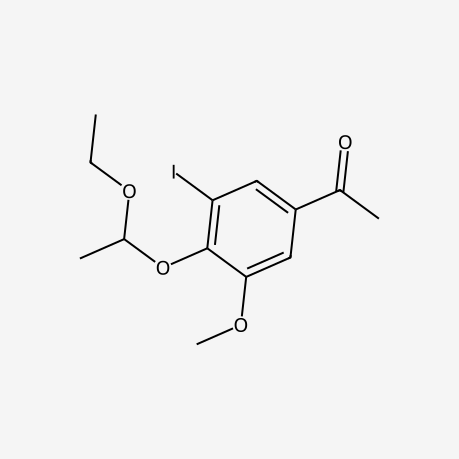 CCOC(C)Oc1c(I)cc(C(C)=O)cc1OC